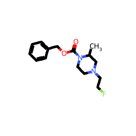 CC1CN(CCF)CCN1C(=O)OCc1ccccc1